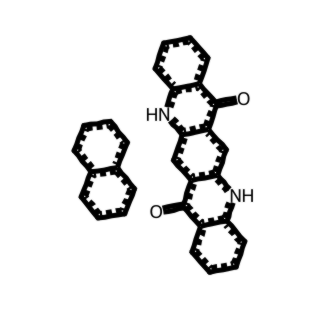 O=c1c2ccccc2[nH]c2cc3c(=O)c4ccccc4[nH]c3cc12.c1ccc2ccccc2c1